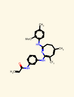 C=CC(=O)Nc1cccc(NC2=C(C(F)(F)F)/C=C(/C)CC/C(Nc3ccc(C)cc3OC)=N\2)c1